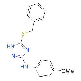 COc1ccc(Nc2n[nH]c(SCc3ccccc3)n2)cc1